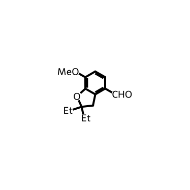 CCC1(CC)Cc2c(C=O)ccc(OC)c2O1